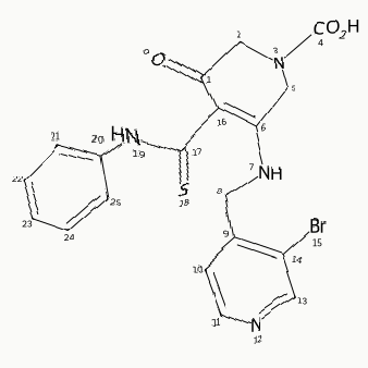 O=C1CN(C(=O)O)CC(NCc2ccncc2Br)=C1C(=S)Nc1ccccc1